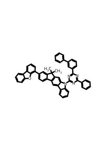 CC1(C)c2cc(-c3cccc4c3oc3ccccc34)ccc2-c2cc3c4ccccc4n(-c4nc(-c5ccccc5)nc(-c5cccc(-c6ccccc6)c5)n4)c3cc21